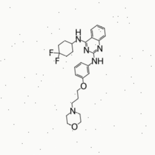 FC1(F)CCC(Nc2nc(Nc3cccc(OCCCN4CCOCC4)c3)nc3ccccc23)CC1